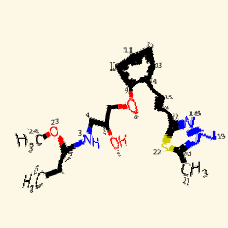 CCC(NCC(O)COc1ccccc1C=Cc1nnc(C)s1)OC